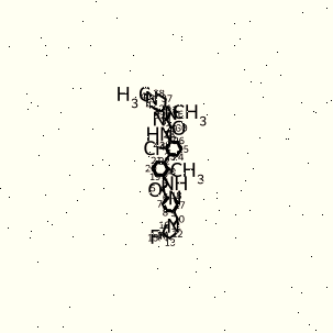 Cc1c(NC(=O)c2ccc(CN3CC[C@@H](F)C3)cn2)cccc1-c1cccc(NC(=O)c2nc3c(n2C)CCN(C)C3)c1Cl